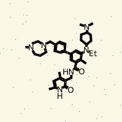 CCN(c1cc(-c2ccc(CN3CCCN(C)CC3)cc2)cc(C(=O)NCc2c(C)cc(C)[nH]c2=O)c1C)C1CCC(N(C)C)CC1